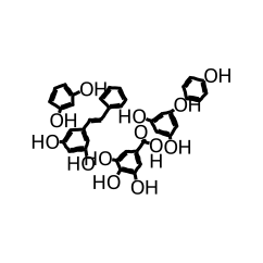 O=C(O)c1cc(O)c(O)c(O)c1.Oc1cc(O)cc(/C=C/c2ccccc2)c1.Oc1cc(O)cc(O)c1.Oc1cccc(O)c1.Oc1ccccc1